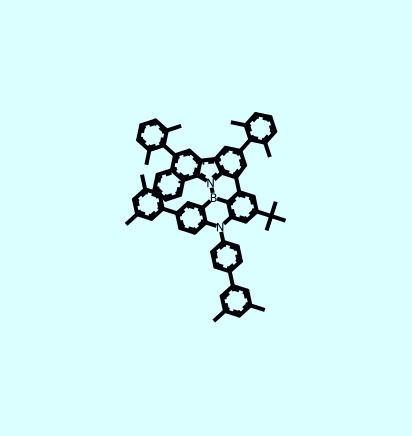 Cc1cc(C)cc(-c2ccc(N3c4ccc(-c5cc(C)cc(C)c5)cc4B4c5c(cc(C(C)(C)C)cc53)-c3cc(-c5c(C)cccc5C)cc5c6cc(-c7c(C)cccc7C)c7ccccc7c6n4c35)cc2)c1